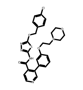 O=C(Nc1nnc(OCc2ccc(Cl)cc2)s1)c1ccncc1-c1cccc(OCCN2CCOCC2)c1